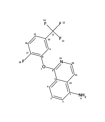 Nc1cccc2c(Oc3cc(C(F)(F)F)ccc3F)nccc12